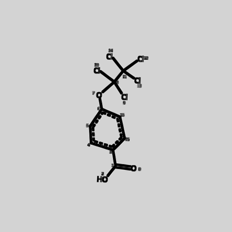 O=C(O)c1ccc(OC(Cl)(Cl)C(Cl)(Cl)Cl)cc1